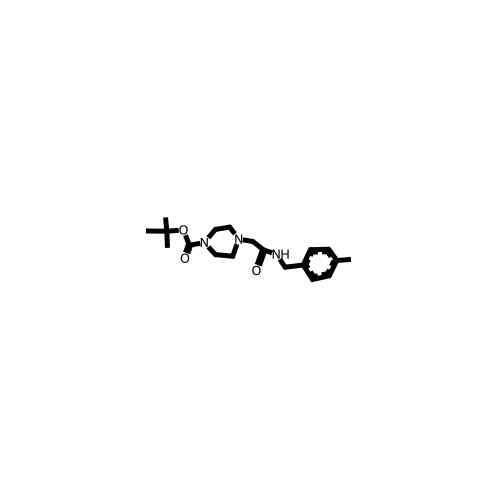 Cc1ccc(CNC(=O)CN2CCN(C(=O)OC(C)(C)C)CC2)cc1